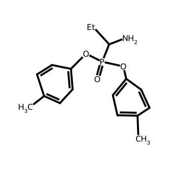 CCC(N)P(=O)(Oc1ccc(C)cc1)Oc1ccc(C)cc1